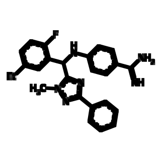 CCc1ccc(F)c(C(Nc2ccc(C(=N)N)cc2)c2nc(-c3ccccc3)nn2C)c1